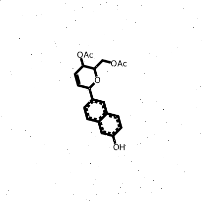 CC(=O)OCC1OC(c2ccc3cc(O)ccc3c2)C=CC1OC(C)=O